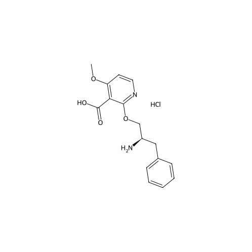 COc1ccnc(OC[C@H](N)Cc2ccccc2)c1C(=O)O.Cl